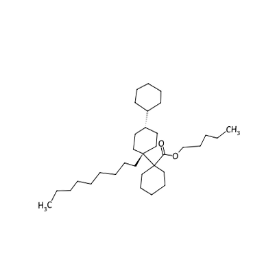 CCCCCCCCC[C@]1(C2(C(=O)OCCCCC)CCCCC2)CC[C@@H](C2CCCCC2)CC1